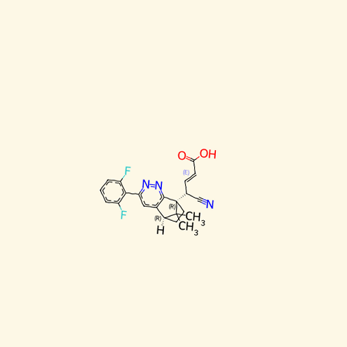 CC1(C)[C@H]2CC[C@]1(C(C#N)/C=C/C(=O)O)c1nnc(-c3c(F)cccc3F)cc12